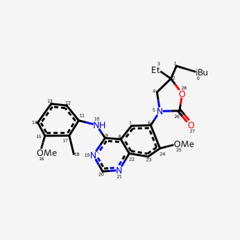 CCC(C)CC1(CC)CN(c2cc3c(Nc4cccc(OC)c4C)ncnc3cc2OC)C(=O)O1